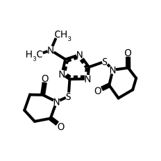 CN(C)c1nc(SN2C(=O)CCCC2=O)nc(SN2C(=O)CCCC2=O)n1